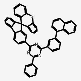 c1ccc(-c2nc(-c3cccc(-c4cccc5ccccc45)c3)nc(-c3ccc4c(c3)C3(c5ccccc5Sc5ccccc53)c3ccccc3-4)n2)cc1